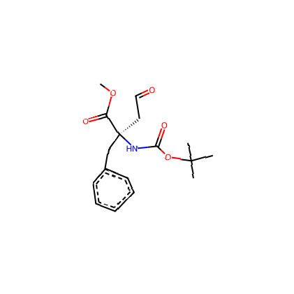 COC(=O)[C@](CC=O)(Cc1ccccc1)NC(=O)OC(C)(C)C